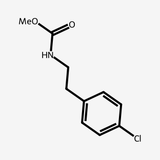 COC(=O)NCCc1ccc(Cl)cc1